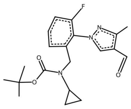 Cc1nn(-c2c(F)cccc2CN(C(=O)OC(C)(C)C)C2CC2)cc1C=O